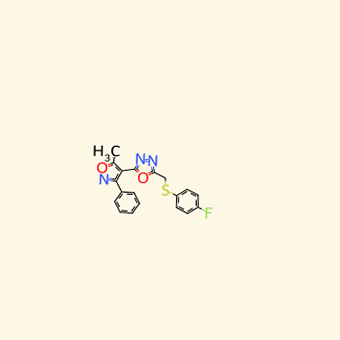 Cc1onc(-c2ccccc2)c1-c1nnc(CSc2ccc(F)cc2)o1